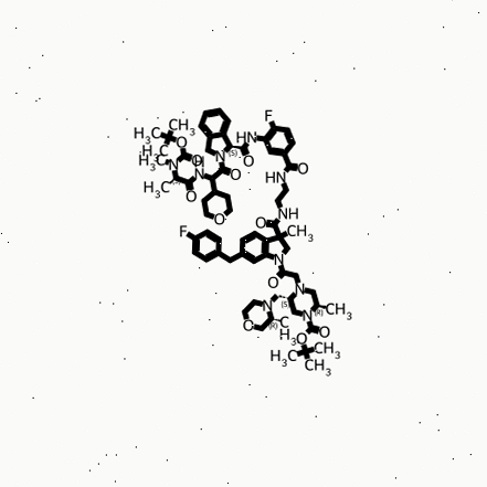 C[C@@H]1COCCN1C[C@H]1CN(C(=O)OC(C)(C)C)[C@H](C)CN1CC(=O)N1CC(C)(C(=O)NCCNC(=O)c2ccc(F)c(NC(=O)[C@@H]3c4ccccc4CN3C(=O)C(NC(=O)[C@H](C)N(C)C(=O)OC(C)(C)C)C3CCOCC3)c2)c2ccc(Cc3ccc(F)cc3)cc21